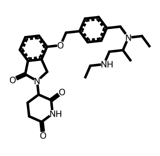 CCNCC(C)N(CC)Cc1ccc(COc2cccc3c2CN(C2CCC(=O)NC2=O)C3=O)cc1